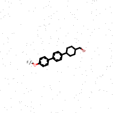 FC(F)(F)Oc1ccc(-c2ccc(C3CCC(CBr)CC3)cc2)cc1